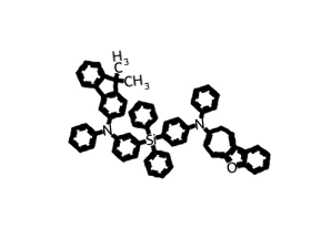 CC1(C)c2ccccc2-c2cc(N(c3ccccc3)c3cccc([Si](c4ccccc4)(c4ccccc4)c4ccc(N(C5=CC=c6oc7ccccc7c6=CC5)c5ccccc5)cc4)c3)ccc21